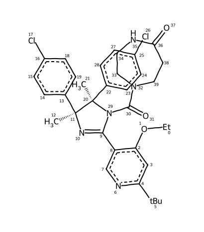 CCOc1cc(C(C)(C)C)ncc1C1=N[C@@](C)(c2ccc(Cl)cc2)[C@@](C)(c2ccc(Cl)cc2)N1C(=O)N1CCNC(=O)CC1